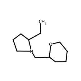 CCC1CCCN1CC1CCCCO1